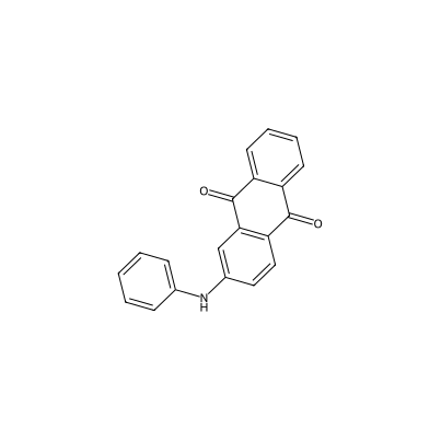 O=C1c2ccccc2C(=O)c2cc(Nc3ccccc3)ccc21